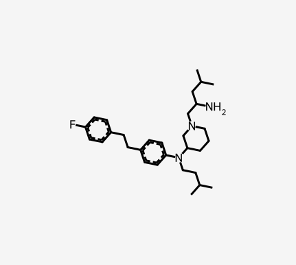 CC(C)CCN(c1ccc(CCc2ccc(F)cc2)cc1)C1CCCN(CC(N)CC(C)C)C1